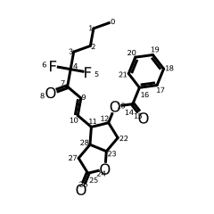 CCCCC(F)(F)C(=O)C=CC1C(OC(=O)c2ccccc2)CC2OC(=O)CC21